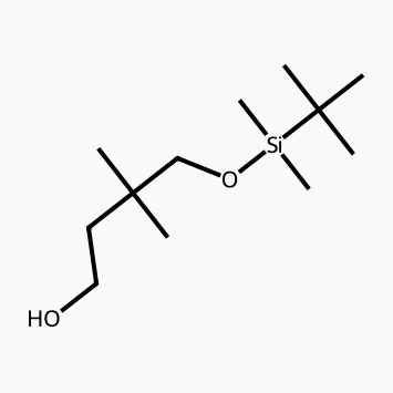 CC(C)(CCO)CO[Si](C)(C)C(C)(C)C